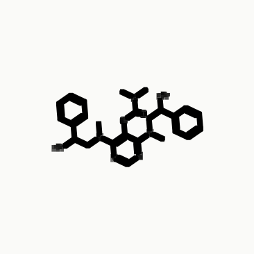 CCCC(CN(C)c1ncnc(N(C)CC(CCC)c2ccccc2)c1OC(=O)N(C)C)c1ccccc1